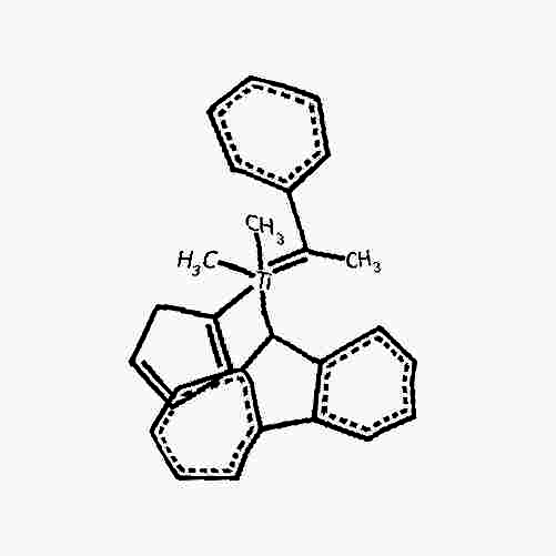 C[C](c1ccccc1)=[Ti]([CH3])([CH3])([C]1=CC=CC1)[CH]1c2ccccc2-c2ccccc21